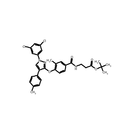 Cc1ccc(-c2cn(-c3cc(Cl)cc(Cl)c3)nc2Oc2ccc(C(=O)NCCC(=O)OC(C)(C)C)cc2C)cc1